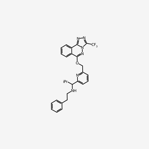 CC(C)C(NCCc1ccccc1)c1cccc(COc2nn3c(C(F)(F)F)nnc3c3ccccc23)n1